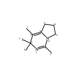 CC1=NC(C)(I)C(C)=C2CCCN12